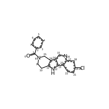 O=C(c1ccccc1)N1CCc2[nH]c3c(cnc4cc(Cl)ccc43)c2C1